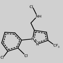 FC(F)(F)c1cc(CNCl)n(-c2cccc(Cl)c2Cl)n1